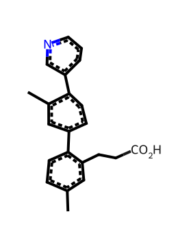 Cc1ccc(-c2ccc(-c3cccnc3)c(C)c2)c(CCC(=O)O)c1